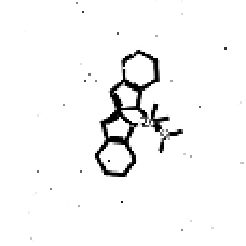 CC1=CC2=C(CCCC2)[CH]1[Zr]([CH3])([CH3])([CH]1C(C)=CC2=C1CCCC2)=[Si](C)C